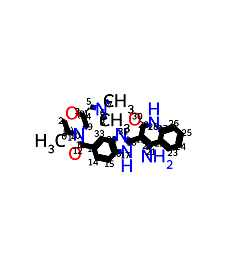 C[C@@H]1CO[C@H](CN(C)C)CN1C(=O)c1ccc2[nH]c(-c3c(N)c4ccccc4[nH]c3=O)nc2c1